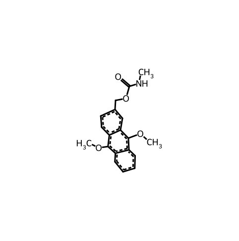 CNC(=O)OCc1ccc2c(OC)c3ccccc3c(OC)c2c1